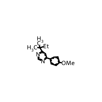 CCC(C)(C)c1cc(-c2ccc(OC)cc2)ncn1